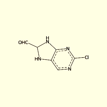 O=CC1Nc2cnc(Cl)nc2N1